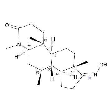 C[C@H]1C[C@H]2N(C)C(=O)CC[C@]2(C)[C@H]2CC[C@]3(C)/C(=N\O)CC[C@H]3[C@H]12